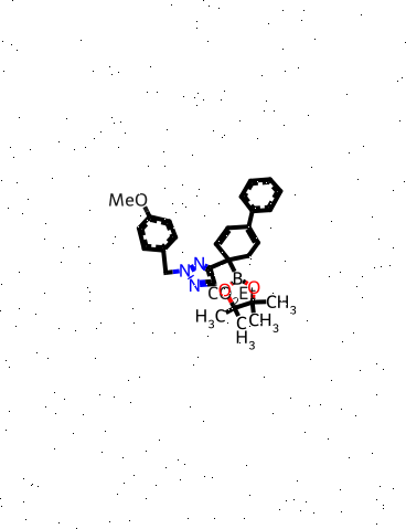 CCOC(=O)c1nn(Cc2ccc(OC)cc2)nc1C1(B2OC(C)(C)C(C)(C)O2)C=CC(c2ccccc2)=CC1